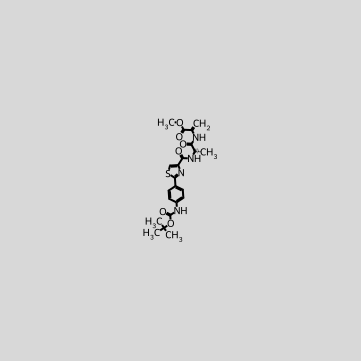 C=C(NC(=O)[C@H](C)NC(=O)c1csc(-c2ccc(NC(=O)OC(C)(C)C)cc2)n1)C(=O)OC